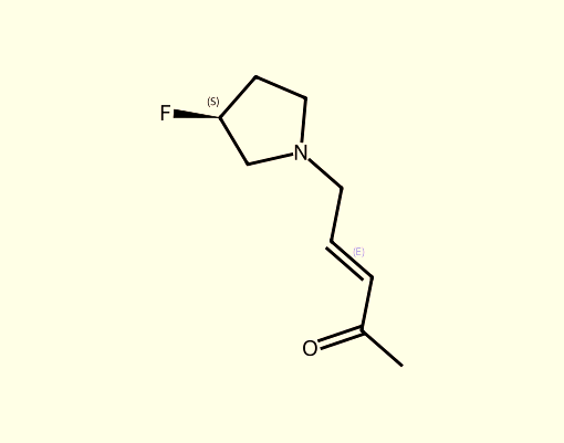 CC(=O)/C=C/CN1CC[C@H](F)C1